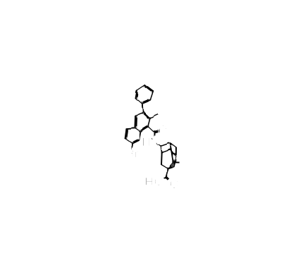 Cc1c(-c2ccccc2)cc2ccc(Br)cc2c1C(=O)NC1C2CC3CC1C(C)C(C(=O)O)(C3)C2